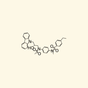 CCc1ccc(S(=O)(=O)N(C)c2ccc(N(CC(O)Cn3c4ccccc4c4ccccc43)S(C)(=O)=O)cc2)cc1